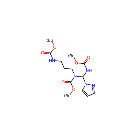 CC(C)(C)OC(=O)NCCCN(C(=O)OC(C)(C)C)C(NC(=O)OC(C)(C)C)n1cccn1